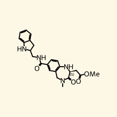 COC(=O)C[C@@H]1Nc2ccc(C(=O)NCC3Cc4ccccc4N3)cc2CN(C)C1=O